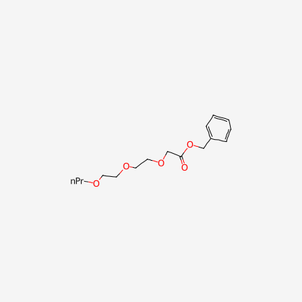 CCCOCCOCCOCC(=O)OCc1ccccc1